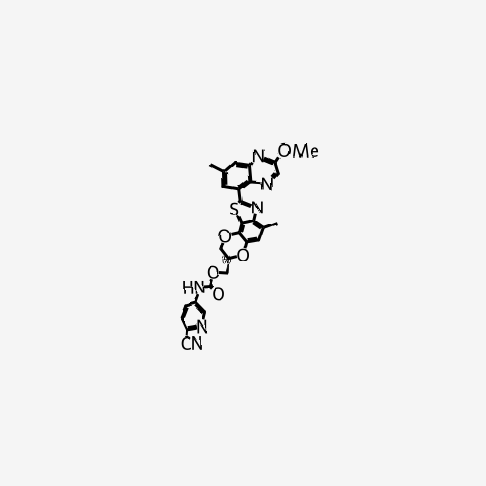 COc1cnc2c(-c3nc4c(C)cc5c(c4s3)OC[C@H](COC(=O)Nc3ccc(C#N)nc3)O5)cc(C)cc2n1